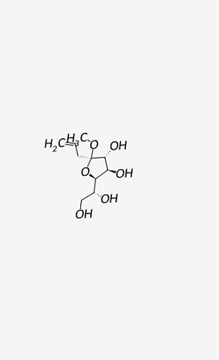 C=CC[C@@]1(OC)O[C@H]([C@H](O)CO)[C@H](O)[C@H]1O